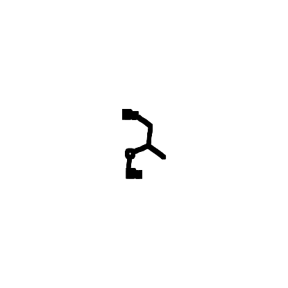 CCC(C)CC(C)OC(C)CC